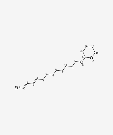 CCC=CC=CCCCCCCCCOC1CCCCO1